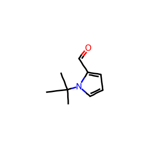 CC(C)(C)n1cccc1C=O